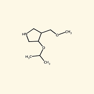 COCC1CNCC1OC(C)C